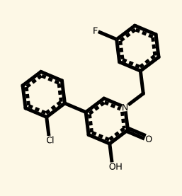 O=c1c(O)cc(-c2ccccc2Cl)cn1Cc1cccc(F)c1